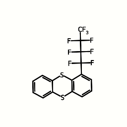 FC(F)(F)C(F)(F)C(F)(F)C(F)(F)c1cccc2c1Sc1ccccc1S2